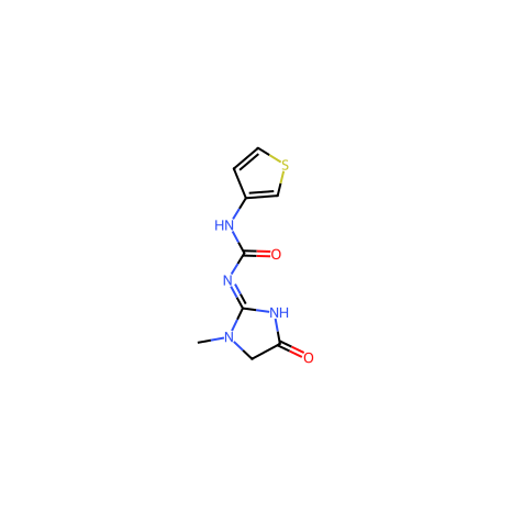 CN1CC(=O)NC1=NC(=O)Nc1ccsc1